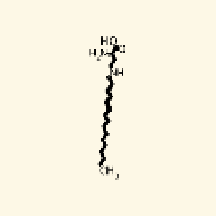 CCCCCCCCCCCCCCCCNCC[C@H](N)C(=O)O